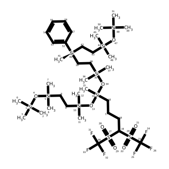 C[Si](C)(C)O[Si](C)(C)CC[Si](C)(C)O[Si](C)(CCCC(S(=O)(=O)C(F)(F)F)S(=O)(=O)C(F)(F)F)O[Si](C)(C)CC[Si@@](C)(CC[Si](C)(C)O[Si](C)(C)C)c1ccccc1